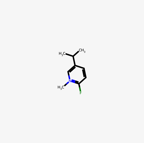 CC(C)c1ccc(F)[n+](C)c1